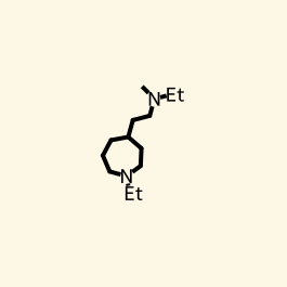 CCN(C)CCC1CCCN(CC)CC1